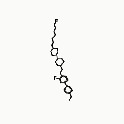 CCc1ccc(-c2ccc(CCC3CCC([C@H]4CC[C@H](CCCCCCCF)CC4)CC3)c(F)c2)cc1